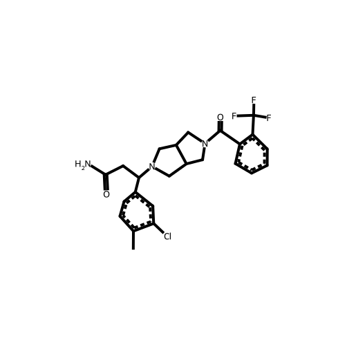 Cc1ccc(C(CC(N)=O)N2CC3CN(C(=O)c4ccccc4C(F)(F)F)CC3C2)cc1Cl